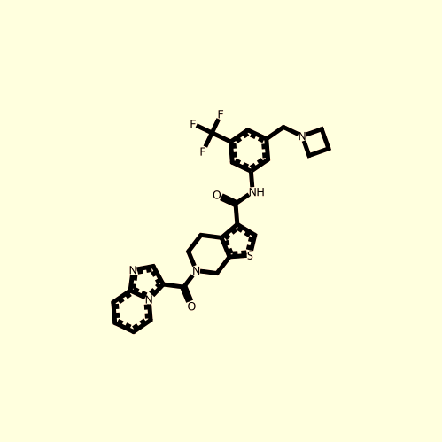 O=C(Nc1cc(CN2CCC2)cc(C(F)(F)F)c1)c1csc2c1CCN(C(=O)c1cnc3ccccn13)C2